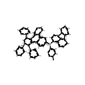 Cc1ccc(N(c2ccc3c(c2)c2ccccc2c2c(-c4ccccc4)cc(-c4ccccc4)c(-c4ccccc4)c32)c2ccc3c4c(cccc24)-c2ccccc2-3)cc1